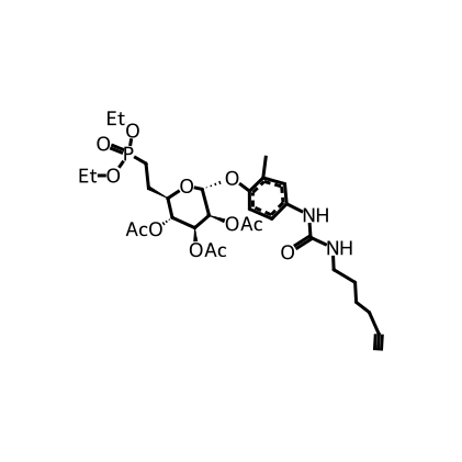 C#CCCCCNC(=O)Nc1ccc(O[C@H]2O[C@H](CCP(=O)(OCC)OCC)[C@@H](OC(C)=O)[C@H](OC(C)=O)[C@@H]2OC(C)=O)c(C)c1